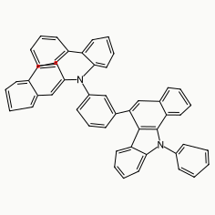 c1ccc(-c2ccccc2N(c2cccc(-c3cc4ccccc4c4c3c3ccccc3n4-c3ccccc3)c2)c2ccc3ccccc3c2)cc1